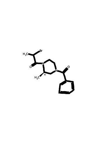 CC(Br)C(=O)N1CCN(C(=O)c2ccccc2)C[C@H]1C